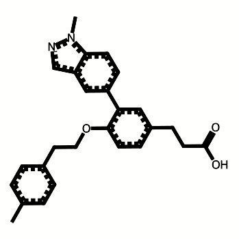 Cc1ccc(CCOc2ccc(CCC(=O)O)cc2-c2ccc3c(cnn3C)c2)cc1